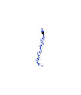 N#C/N=N/N=N/N=N/N=N/N